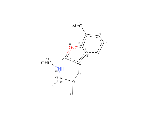 COc1cccc2c(CC(C)[C@H](C)NC=O)coc12